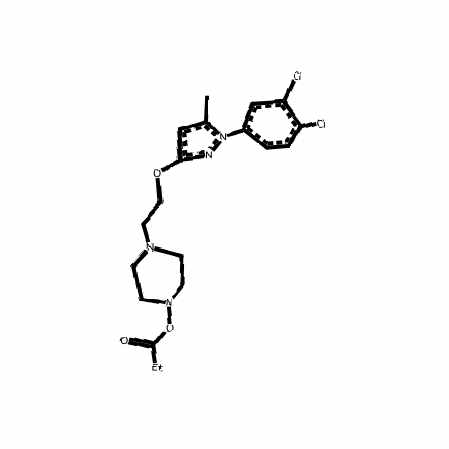 CCC(=O)ON1CCN(CCOc2cc(C)n(-c3ccc(Cl)c(Cl)c3)n2)CC1